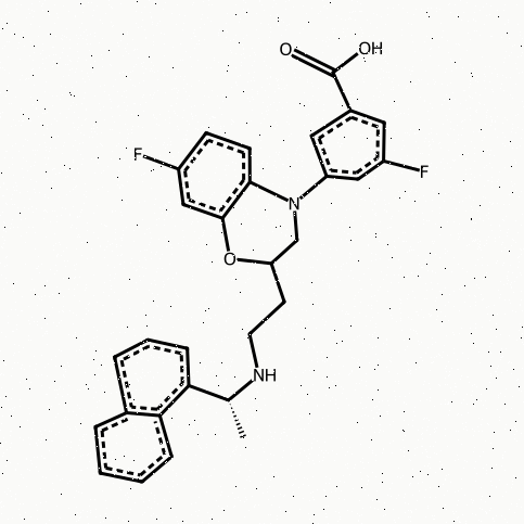 C[C@@H](NCCC1CN(c2cc(F)cc(C(=O)O)c2)c2ccc(F)cc2O1)c1cccc2ccccc12